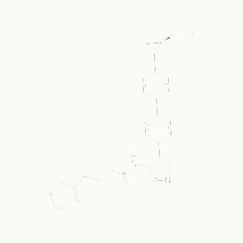 Cc1noc(-c2ccc(-c3ccc(C4C[C@H]4C(=O)O)cc3)cc2)c1NC(=O)OCCc1ccccc1